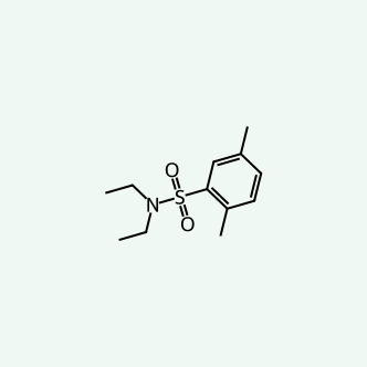 CCN(CC)S(=O)(=O)c1cc(C)ccc1C